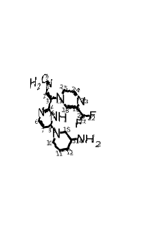 C=N/C=C(/C1=NC=CC(N2CCCC(N)C2)N1)N1C=C(C(F)F)N=CC1